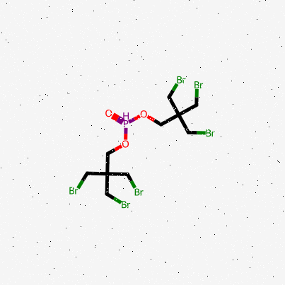 O=[PH](OCC(CBr)(CBr)CBr)OCC(CBr)(CBr)CBr